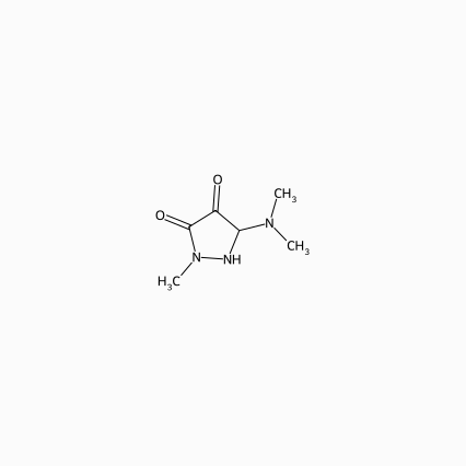 CN1NC(N(C)C)C(=O)C1=O